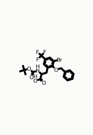 CC(C)(C)OC(=O)NC(Cc1cc(C(F)(F)F)cc(Br)c1OCc1ccccc1)C(=O)O